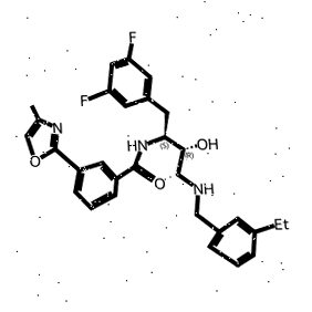 CCc1cccc(CNC[C@@H](O)[C@H](Cc2cc(F)cc(F)c2)NC(=O)c2cccc(-c3nc(C)co3)c2)c1